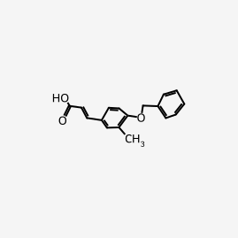 Cc1cc(C=CC(=O)O)ccc1OCc1ccccc1